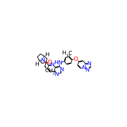 C=CC(=O)N1[C@@H]2CC[C@H]1CC(c1ccc3ncnc(Nc4ccc(Oc5ccn6ncnc6c5)c(C)c4)c3n1)C2